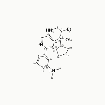 CCC1CNc2cnc(-c3ccnc(N(C)C)c3)nc2[N+]1([O-])C1CCCC1